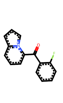 O=C(c1ccccc1F)c1cccc2cccn12